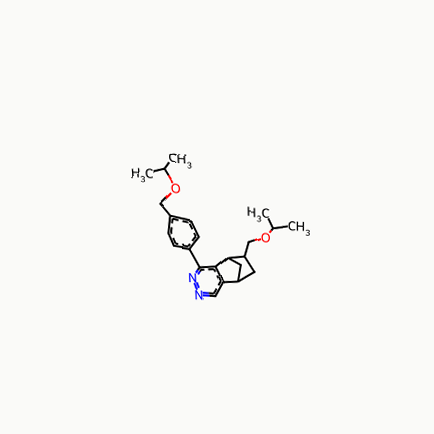 CC(C)OCc1ccc(-c2nncc3c2C2CC3CC2COC(C)C)cc1